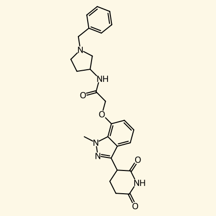 Cn1nc(C2CCC(=O)NC2=O)c2cccc(OCC(=O)NC3CCN(Cc4ccccc4)C3)c21